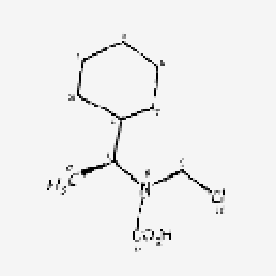 C[C@@H](C1CCCCC1)N(CCl)C(=O)O